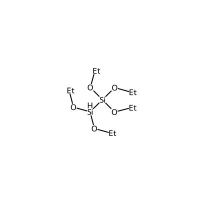 CCO[SiH](OCC)[Si](OCC)(OCC)OCC